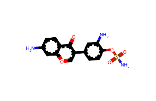 Nc1ccc2c(=O)c(-c3ccc(OS(N)(=O)=O)c(N)c3)coc2c1